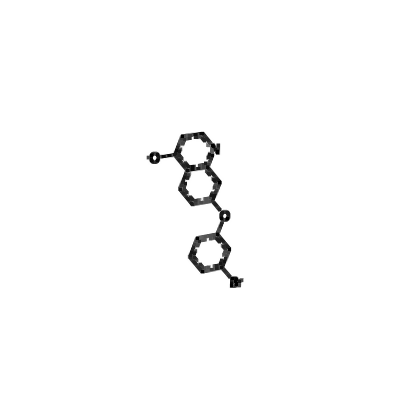 [O]c1ccnc2cc(Oc3cccc(Br)c3)ccc12